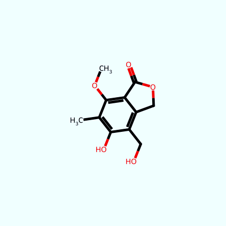 COc1c(C)c(O)c(CO)c2c1C(=O)OC2